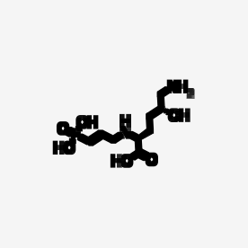 NC[C@H](O)CC[C@H](NCC=CP(=O)(O)O)C(=O)O